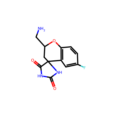 NCC1CC2(NC(=O)NC2=O)c2cc(F)ccc2O1